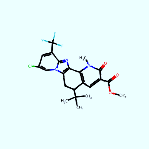 COC(=O)c1cc2c(n(C)c1=O)-c1nc3c(C(F)(F)F)cc(Cl)cn3c1CC2C(C)(C)C